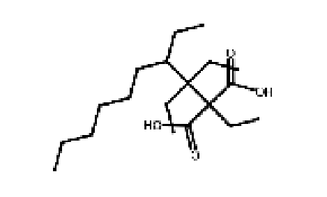 CCCCCCC(CC)C(CC)(CC)C(CC)(C(=O)O)C(=O)O